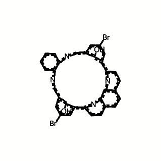 Oc1c2cnc3ccccc3ncc3cc(Br)cc(c3O)c3ccc4ccc5ccc(nc5c4n3)c1cc(Br)c2